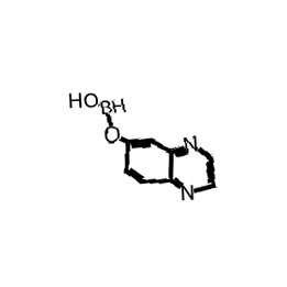 OBOc1ccc2nccnc2c1